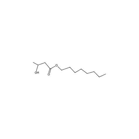 CCCCCCCCOC(=O)CC(C)O